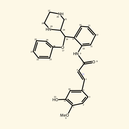 COc1ccc(/C=C/C(=O)Nc2ccccc2C(Oc2ccccc2)C2CNCCN2)cc1O